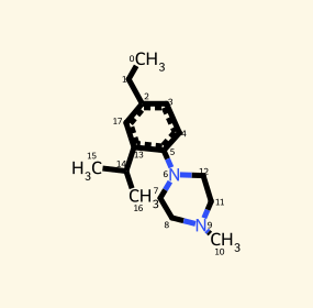 CCc1ccc(N2CCN(C)CC2)c(C(C)C)c1